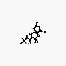 CC(C)(C)NC(=O)NC(=N)Nc1c(Cl)cc(I)cc1Cl